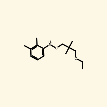 CCOCC(C)(C)CO[SiH2]c1cccc(C)c1C